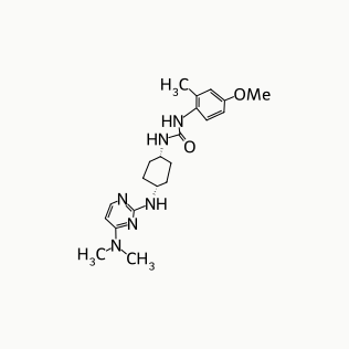 COc1ccc(NC(=O)N[C@H]2CC[C@@H](Nc3nccc(N(C)C)n3)CC2)c(C)c1